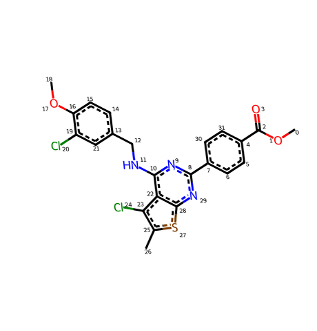 COC(=O)c1ccc(-c2nc(NCc3ccc(OC)c(Cl)c3)c3c(Cl)c(C)sc3n2)cc1